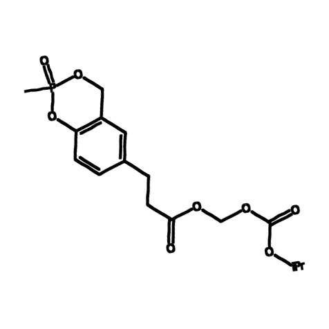 CC(C)OC(=O)OCOC(=O)CCc1ccc2c(c1)COP(C)(=O)O2